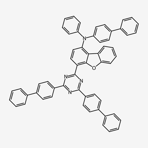 c1ccc(-c2ccc(-c3nc(-c4ccc(-c5ccccc5)cc4)nc(-c4ccc(N(c5ccccc5)c5ccc(-c6ccccc6)cc5)c5c4oc4ccccc45)n3)cc2)cc1